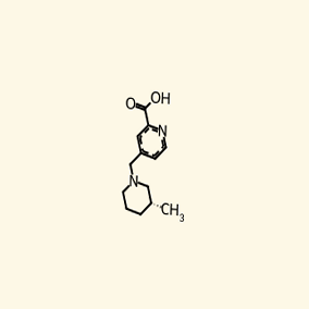 C[C@@H]1CCCN(Cc2ccnc(C(=O)O)c2)C1